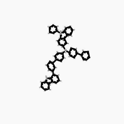 c1ccc(-c2ccc(N(c3ccc(-c4cccc(-c5cccc6c5sc5ccccc56)c4)cc3)c3ccc4c(c3)c3ccccc3n4-c3ccccc3)cc2)cc1